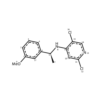 COc1cccc([C@H](C)Nc2nc(Cl)ncc2Cl)c1